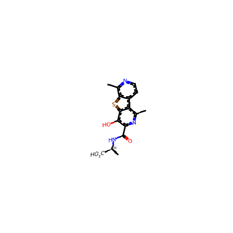 Cc1nccc2c1sc1c(O)c(C(=O)N[C@@H](C)C(=O)O)nc(C)c12